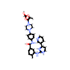 Cc1ccc(C(=O)Nc2ccc(N3CCN(c4oc(=O)oc4C)CC3)cc2)cc1Nc1nccc(-c2cccnc2)n1